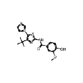 COc1cc(C(=O)Nc2nc(C(C)(C)C)c(-n3ccnc3)s2)ccc1O